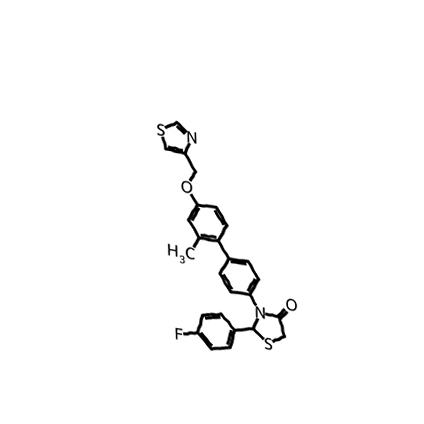 Cc1cc(OCc2cscn2)ccc1-c1ccc(N2C(=O)CSC2c2ccc(F)cc2)cc1